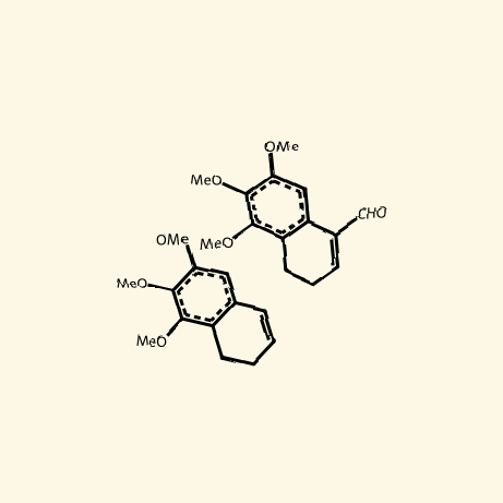 COc1cc2c(c(OC)c1OC)CCC=C2.COc1cc2c(c(OC)c1OC)CCC=C2C=O